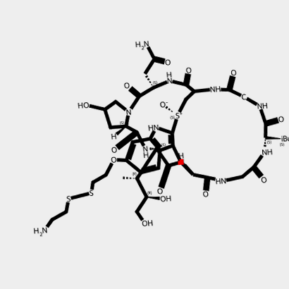 CC[C@H](C)[C@@H]1NC(=O)CNC(=O)C2Cc3c([nH]c4cc(OCCSSCCN)ccc34)[S@+]([O-])CC(NC(=O)CNC1=O)C(=O)N[C@@H](CC(N)=O)C(=O)N1CC(O)C[C@H]1C(=O)N[C@@H]([C@@H](C)[C@@H](O)CO)C(=O)N2